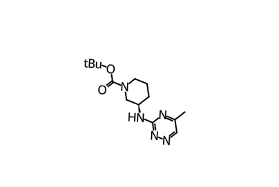 Cc1cnnc(N[C@@H]2CCCN(C(=O)OC(C)(C)C)C2)n1